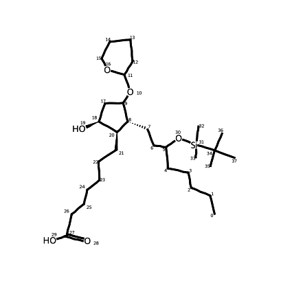 CCCCCC(CC[C@H]1C(OC2CCCCO2)C[C@H](O)[C@@H]1CCCCCCC(=O)O)O[Si](C)(C)C(C)(C)C